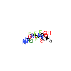 CC1(C)COC[C@H]1n1c(Cc2cc(F)c(-c3ccc(F)c(OCc4cnc(-n5ccnn5)cc4Cl)n3)cc2F)nc2c(F)cc(C(=O)O)cc21